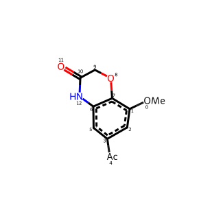 COc1cc(C(C)=O)cc2c1OCC(=O)N2